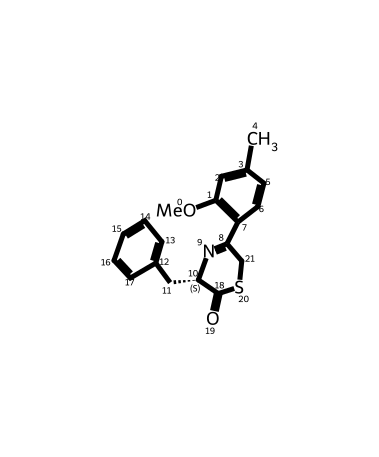 COc1cc(C)ccc1C1=N[C@@H](Cc2ccccc2)C(=O)SC1